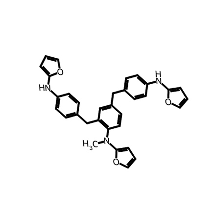 CN(c1ccco1)c1ccc(Cc2ccc(Nc3ccco3)cc2)cc1Cc1ccc(Nc2ccco2)cc1